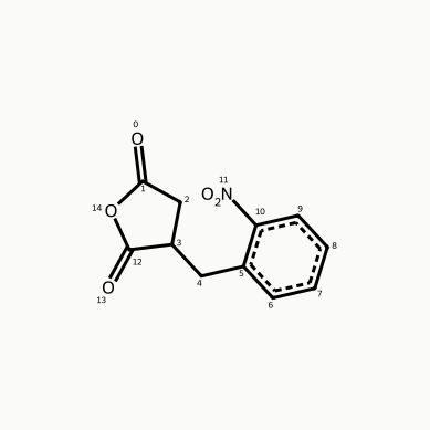 O=C1CC(Cc2ccccc2[N+](=O)[O-])C(=O)O1